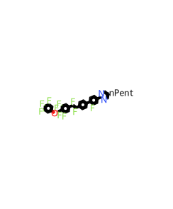 CCCCCc1cnc(-c2ccc(-c3ccc(/C(F)=C(\F)c4cc(F)c(C(F)(F)Oc5cc(F)c(F)c(F)c5)c(F)c4)cc3)c(F)c2)nc1